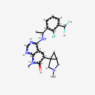 CC(=O)N1CC2CC2(c2cc3c(NC(C)c4cccc(C(F)F)c4F)ncnc3n(C)c2=O)C1